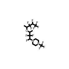 CC(OC(C)C(F)(F)C(F)C(F)(F)F)C(F)(F)C(F)N1CCN(C(F)(F)F)CC1